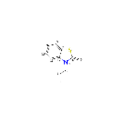 C=CCN1C(=C)Sc2ccccc21